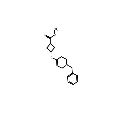 COC(=O)[C@H]1C[C@H](OC2=CCN(Cc3ccccc3)CC2)C1